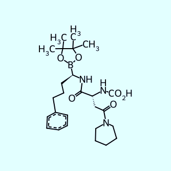 CC1(C)OB([C@H](CCCc2ccccc2)NC(=O)[C@@H](CC(=O)N2CCCCC2)NC(=O)O)OC1(C)C